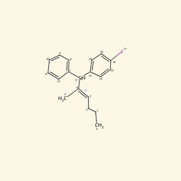 CCC/C=C(\C)[SiH](c1ccccc1)c1ccc(I)cc1